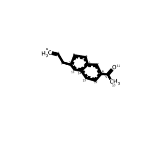 C=CCc1ccc2cc(C(C)=O)ccc2c1